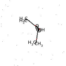 CC(C)CCCCCCCCCCCCC(=O)OCC(CO)OC(=O)CCCCCCCCCCCCC(C)C